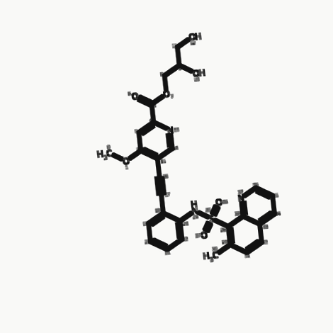 COc1cc(C(=O)OCC(O)CO)ncc1C#Cc1ccccc1NS(=O)(=O)c1c(C)ccc2cccnc12